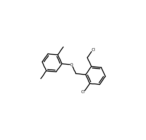 Cc1ccc(C)c(OCc2c(Cl)cccc2CCl)c1